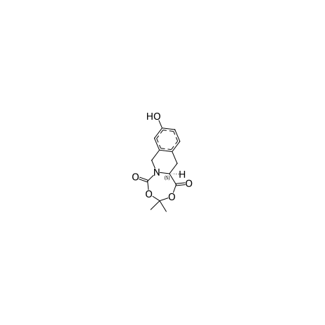 CC1(C)OC(=O)[C@@H]2Cc3ccc(O)cc3CN2C(=O)O1